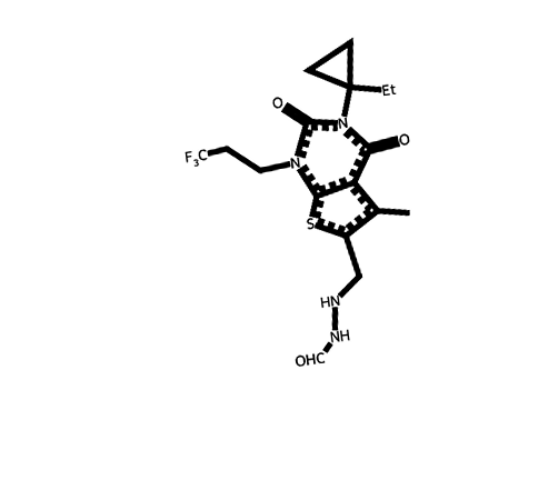 CCC1(n2c(=O)c3c(C)c(CNNC=O)sc3n(CCC(F)(F)F)c2=O)CC1